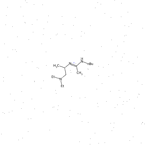 CCCCN/C(C)=N/C(C)CN(CC)CC